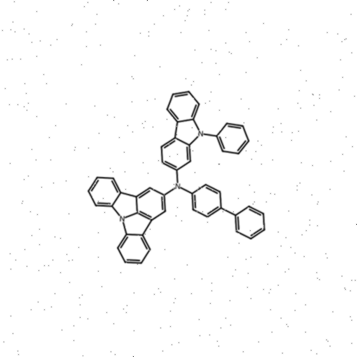 c1ccc(-c2ccc(N(c3cc4c5ccccc5n5c6ccccc6c(c3)c45)c3ccc4c5ccccc5n(-c5ccccc5)c4c3)cc2)cc1